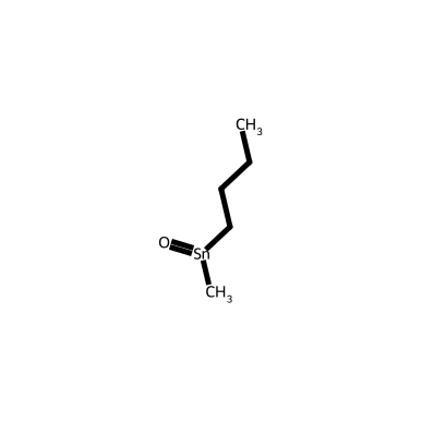 CCC[CH2][Sn]([CH3])=[O]